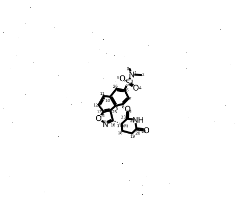 CN(C)S(=O)(=O)c1ccc2c(ccc3onc([C@H]4CCC(=O)NC4=O)c32)c1